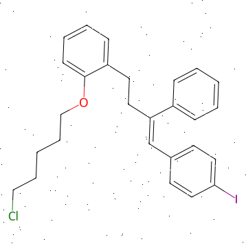 ClCCCCCOc1ccccc1CC/C(=C/c1ccc(I)cc1)c1ccccc1